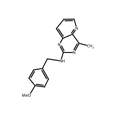 COc1ccc(CNc2nc(C)c3ncccc3n2)cc1